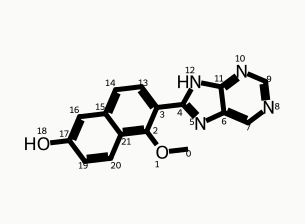 COc1c(-c2nc3cncnc3[nH]2)ccc2cc(O)ccc12